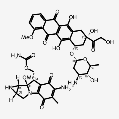 CO[C@@]12[C@H](COC(N)=O)C3=C(C(=O)C(C)=C(N)C3=O)N1C[C@@H]1N[C@@H]12.COc1cccc2c1C(=O)c1c(O)c3c(c(O)c1C2=O)C[C@@](O)(C(=O)CO)C[C@@H]3O[C@H]1C[C@H](N)[C@@H](O)[C@H](C)O1